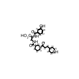 O=C(NC(CNC(=O)[C@@H]1CCCN(C(=O)CCC2CCNCC2)C1)C(=O)O)c1cccc(O)c1